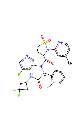 Cc1ccccc1[C@H](C(=O)NC1CC(F)(F)C1)N(C(=O)[C@@H]1CCS(=O)(=O)N1c1cc(C#N)ccn1)c1cncc(F)c1